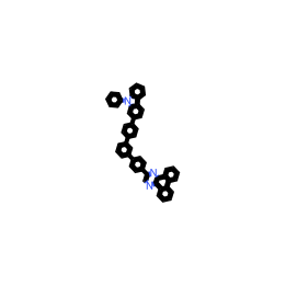 c1ccc(-n2c3ccccc3c3ccc(-c4ccc(-c5cccc(-c6ccc(-c7cnc8c9ccccc9c9ccccc9c8n7)cc6)c5)cc4)cc32)cc1